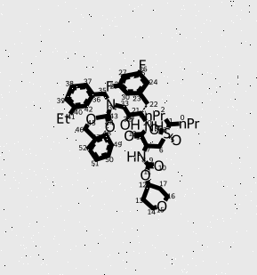 CCCC(CCC)S(=O)(=O)CC(NC(=O)OC1CCOCC1)C(=O)N[C@@H](Cc1cc(F)cc(F)c1)[C@H](O)CN(Cc1cccc(CC)c1)C(=O)OCc1ccccc1